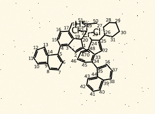 CC1=Cc2c(-c3cccc4ccccc34)ccc(C)c2[CH]1[Zr]([Cl])([Cl])([CH]1C(C2CCCCC2)=Cc2c(-c3cccc4ccccc34)cccc21)[SiH](C)C